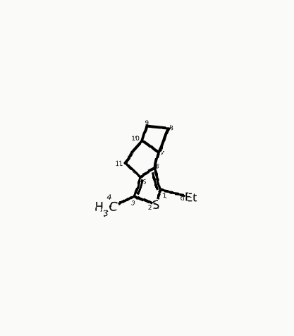 CCc1sc(C)c2c1C1CCC1C2